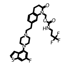 O=C(NCCC(F)(F)F)OCN1C(=O)CCc2ccc(CCN3CCN(c4cc(F)cc5sccc45)CC3)cc21